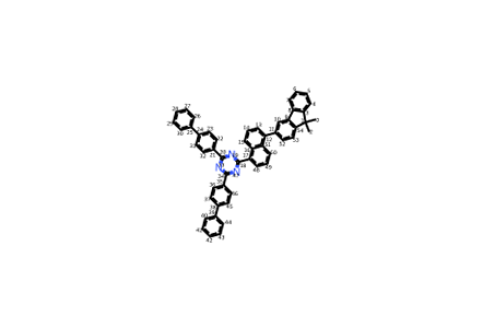 CC1(C)c2ccccc2-c2cc(-c3cccc4c(-c5nc(-c6ccc(-c7ccccc7)cc6)nc(-c6ccc(-c7ccccc7)cc6)n5)cccc34)ccc21